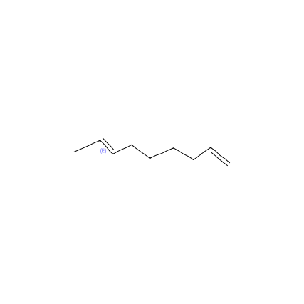 C=CCCCC/C=C/C